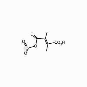 C/C(C(=O)O)=C(/C)C(=O)O[SH](=O)=O